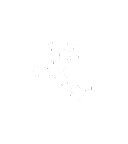 O=C(C1CCO1)N1CC2(CC2)C(NS(=O)(=O)C(F)F)[C@@H]1Cc1cccc(-c2cccc(F)c2)c1